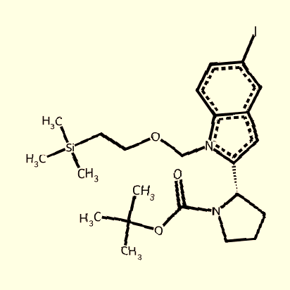 CC(C)(C)OC(=O)N1CCC[C@H]1c1cc2cc(I)ccc2n1COCC[Si](C)(C)C